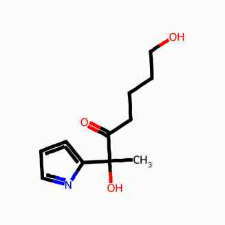 CC(O)(C(=O)CCCCO)C1=C=CC=N1